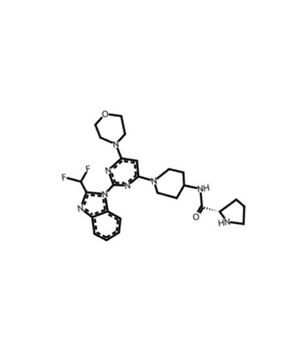 O=C(NC1CCN(c2cc(N3CCOCC3)nc(-n3c(C(F)F)nc4ccccc43)n2)CC1)[C@@H]1CCCN1